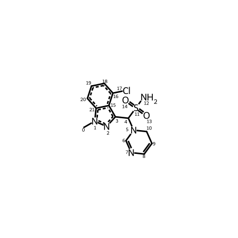 Cn1nc(C(N2C=NC=CC2)S(N)(=O)=O)c2c(Cl)cccc21